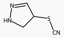 N#CSC1C=NNC1